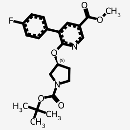 COC(=O)c1cnc(O[C@H]2CCN(C(=O)OC(C)(C)C)C2)c(-c2ccc(F)cc2)c1